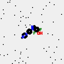 CN1CCN(c2ccc(-n3ncc4cc(F)c(O)c(F)c43)cc2)CC1